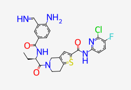 CC[C@@H](NC(=O)c1ccc(N)c(C=N)c1)C(=O)N1CCc2sc(C(=O)Nc3ccc(F)c(Cl)n3)cc2C1